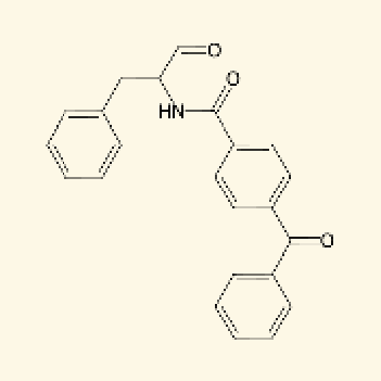 O=CC(Cc1ccccc1)NC(=O)c1ccc(C(=O)c2ccccc2)cc1